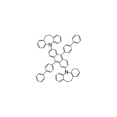 C1=CC2=C(CC1)N(c1ccc3c(-c4ccc(-c5ccccc5)cc4)c4cc(N5c6ccccc6CCc6ccccc65)ccc4c(-c4ccc(-c5ccccc5)cc4)c3c1)c1ccccc1CC2